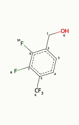 OCc1ccc(C(F)(F)F)c(F)c1F